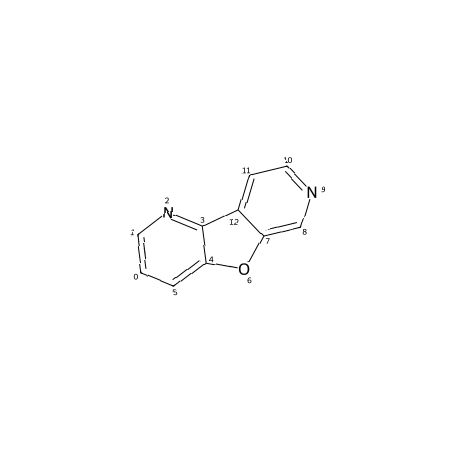 c1cnc2c(c1)oc1cnccc12